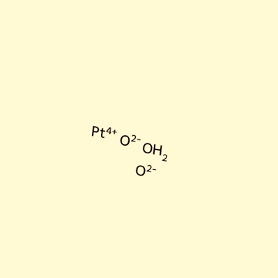 O.[O-2].[O-2].[Pt+4]